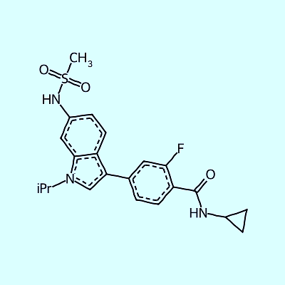 CC(C)n1cc(-c2ccc(C(=O)NC3CC3)c(F)c2)c2ccc(NS(C)(=O)=O)cc21